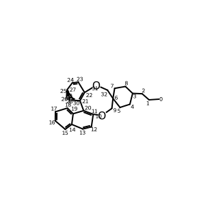 CCCC1CCC2(CC1)COc1ccc3ccccc3c1-c1c(ccc3ccccc13)OC2